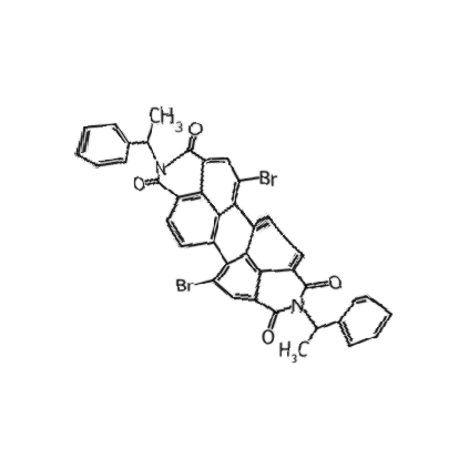 CC(c1ccccc1)N1C(=O)c2ccc3c4c(Br)cc5c6c(ccc(c7c(Br)cc(c2c37)C1=O)c64)C(=O)N(C(C)c1ccccc1)C5=O